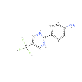 Nc1ccc(-c2ncc(C(F)(F)F)cn2)cc1